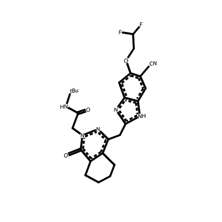 CC(C)(C)NC(=O)Cn1nc(Cc2nc3cc(OCC(F)F)c(C#N)cc3[nH]2)c2c(c1=O)CCCC2